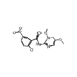 COC1=CN=C(NC(=O)c2cc([N+](=O)[O-])ccc2Cl)N(OC)C1